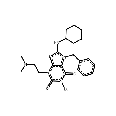 CCn1c(=O)c2c(nc(NC3CCCCC3)n2Cc2ccccc2)n(CCN(C)C)c1=O